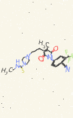 CCNC(=S)N1CCN(CCCC2=C(C)C(=O)N(c3ccc(C#N)c(C(F)(F)F)c3)C2=O)CC1